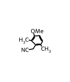 COc1ccc(C)c(CC#N)c1C